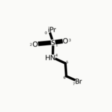 CC(C)S(=O)(=O)NCCBr